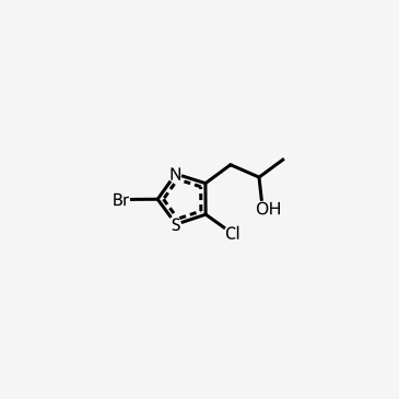 CC(O)Cc1nc(Br)sc1Cl